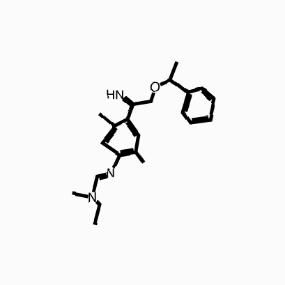 CCN(C)/C=N/c1cc(C)c(C(=N)COC(C)c2ccccc2)cc1C